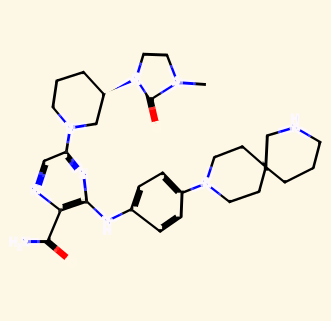 CN1CCN([C@@H]2CCCN(c3cnc(C(N)=O)c(Nc4ccc(N5CCC6(CCCNC6)CC5)cc4)n3)C2)C1=O